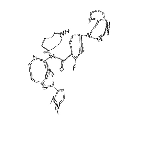 Cn1ccc(-c2cc3c(N(C(=O)c4ccc(-n5nnc6cccnc65)cc4F)[C@@H]4CCCNC4)nccc3s2)n1